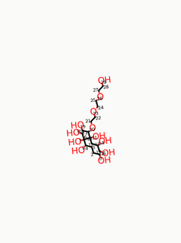 OCCCC(O)C(O)(CO)C(O)(CC(O)CO)C(CO)OCCOCCOCCO